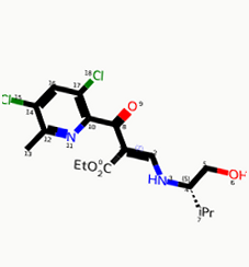 CCOC(=O)/C(=C\N[C@H](CO)C(C)C)C(=O)c1nc(C)c(Cl)cc1Cl